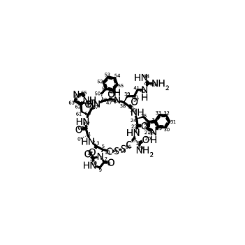 C[C@H]1NC(=O)[C@@H](N2C(=O)CNC2=O)CSSC[C@@H](C(N)=O)NC(=O)[C@H](Cc2c[nH]c3ccccc23)NC(=O)[C@H](CCCNC(=N)N)NC(=O)[C@@H](Cc2ccccc2)NC(=O)[C@H](Cc2cnc[nH]2)NC1=O